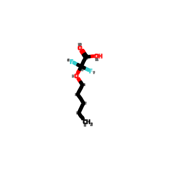 CCCCCOC(F)(F)C(=O)O